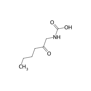 CCCCC(=O)CNC(=O)O